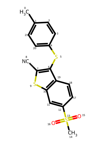 Cc1ccc(Sc2c(C#N)sc3cc(S(C)(=O)=O)ccc23)cc1